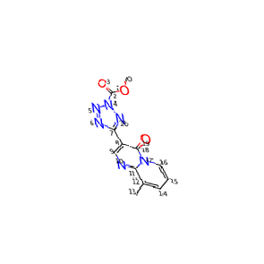 COC(=O)n1nnc(-c2cnc3c(C)cccn3c2=O)n1